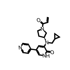 C=CC(=O)N1CC[C@H](N(CC2CC2)c2cc(-c3ccncc3)c[nH]c2=O)C1